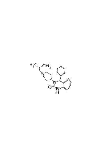 CC(C)CN1CCC(N2C(=O)Nc3ccccc3C2c2ccccc2)CC1